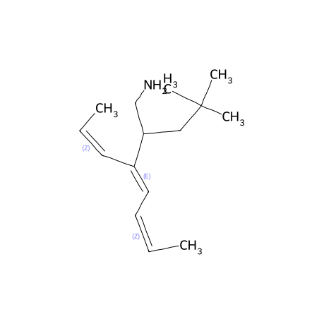 C\C=C/C=C(\C=C/C)C(CN)CC(C)(C)C